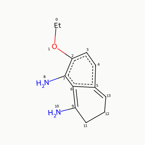 CCOc1ccc2c(c1N)=C(N)CCC=2